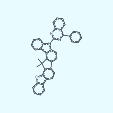 CC1(C)c2c(ccc3c2oc2ccccc23)-c2ccc3c(c21)c1ccccc1n3-c1nc(-c2ccccc2)c2ccccc2n1